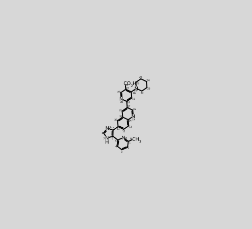 Cc1cccc(-c2[nH]cnc2-c2ccc3ncc(-c4cc(N5CCCCC5)c(C(=O)O)cn4)cc3c2)n1